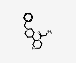 NCC(=O)N1CCNCC1C1CCN(Cc2ccccc2)CC1